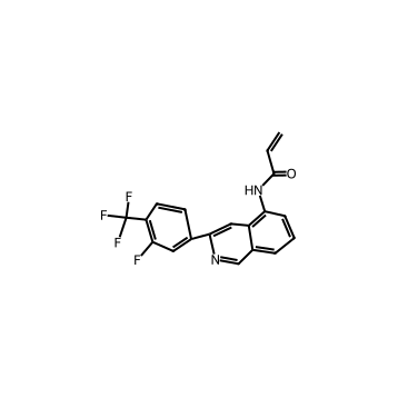 C=CC(=O)Nc1cccc2cnc(-c3ccc(C(F)(F)F)c(F)c3)cc12